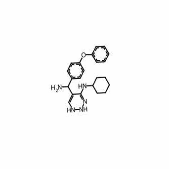 NC(C1=CNNN=C1NC1CCCCC1)c1ccc(Oc2ccccc2)cc1